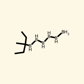 BBBBBBC(C)(CC)CC